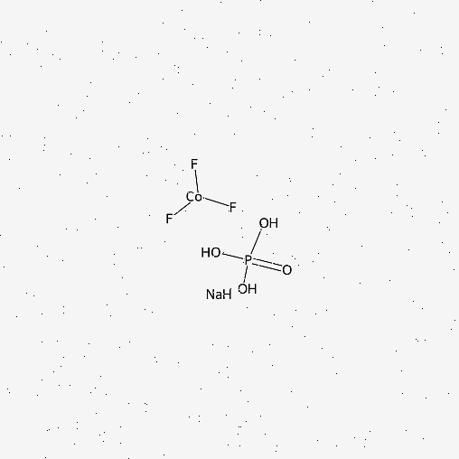 O=P(O)(O)O.[F][Co]([F])[F].[NaH]